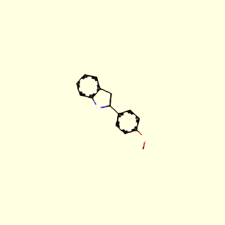 COc1ccc(C2Cc3ccccc3N2)cc1